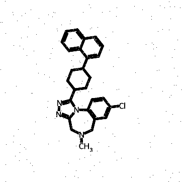 CN1Cc2cc(Cl)ccc2-n2c(nnc2C2CCC(c3cccc4ccccc34)CC2)C1